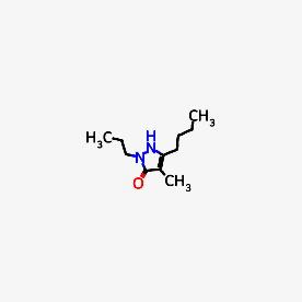 CCCCc1[nH]n(CCC)c(=O)c1C